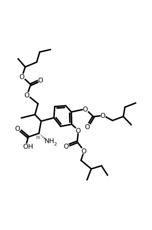 CCCC(C)OC(=O)OCC(C)C(c1ccc(OC(=O)OCC(C)CC)c(OC(=O)OCC(C)CC)c1)[C@H](N)C(=O)O